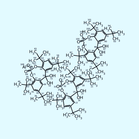 CC(C)(C)c1cc(C(C)(C)C)c2c(c1)C(O)(O)c1cc(C(C)(C)C)cc(C(C)(C)C)c1OP(=O)([O-])O2.CC(C)(C)c1cc(C(C)(C)C)c2c(c1)C(O)(O)c1cc(C(C)(C)C)cc(C(C)(C)C)c1OP(=O)([O-])O2.CC(C)(C)c1cc(C(C)(C)C)c2c(c1)C(O)(O)c1cc(C(C)(C)C)cc(C(C)(C)C)c1OP(=O)([O-])O2.[Al+3]